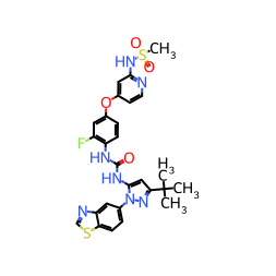 CC(C)(C)c1cc(NC(=O)Nc2ccc(Oc3ccnc(NS(C)(=O)=O)c3)cc2F)n(-c2ccc3scnc3c2)n1